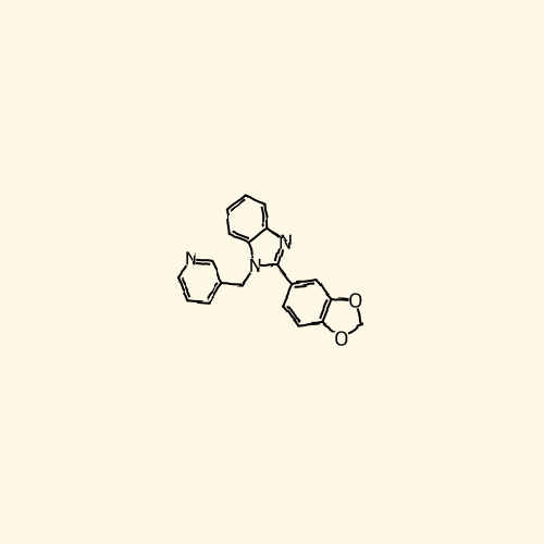 c1cncc(Cn2c(-c3ccc4c(c3)OCO4)nc3ccccc32)c1